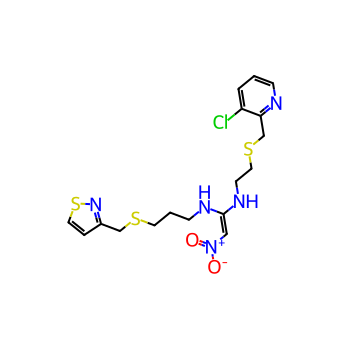 O=[N+]([O-])/C=C(\NCCCSCc1ccsn1)NCCSCc1ncccc1Cl